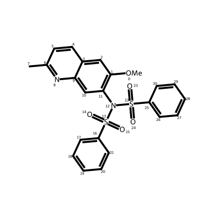 COc1cc2ccc(C)nc2cc1N(S(=O)(=O)c1ccccc1)S(=O)(=O)c1ccccc1